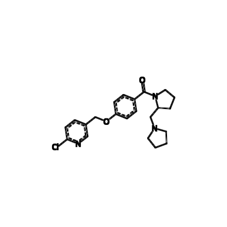 O=C(c1ccc(OCc2ccc(Cl)nc2)cc1)N1CCCC1CN1CCCC1